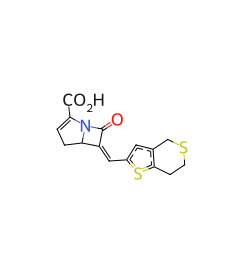 O=C(O)C1=CCC2C(=Cc3cc4c(s3)CCSC4)C(=O)N12